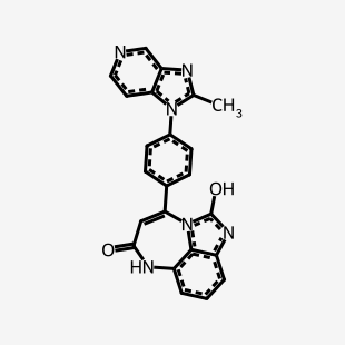 Cc1nc2cnccc2n1-c1ccc(C2=CC(=O)Nc3cccc4nc(O)n2c34)cc1